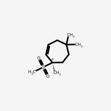 CC1(C)CC=C[C@](C)(S(C)(=O)=O)CC1